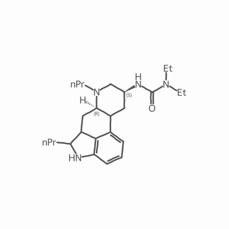 CCCC1Nc2cccc3c2C1C[C@@H]1C3C[C@H](NC(=O)N(CC)CC)CN1CCC